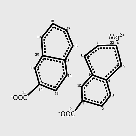 O=C([O-])c1ccc2ccccc2c1.O=C([O-])c1ccc2ccccc2c1.[Mg+2]